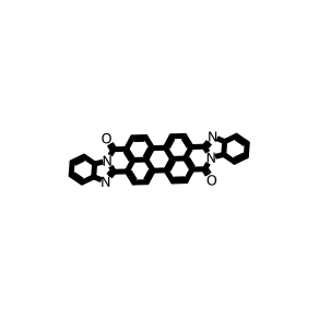 O=c1c2ccc3c4ccc5c6n(c(=O)c7ccc(c8ccc(c9n1C1C=CC=CC1N=9)c2c38)c4c75)C1C=CC=CC1N=6